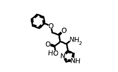 NC(c1c[nH]cn1)C(C(=O)O)C(=O)COc1ccccc1